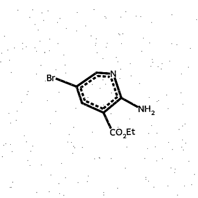 CCOC(=O)c1cc(Br)cnc1N